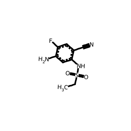 CCS(=O)(=O)Nc1cc(N)c(F)cc1C#N